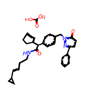 O=C(NCC/C=C/C1CC1)C(c1ccc(Cn2nc(-c3ccccc3)ccc2=O)cc1)C1CCCC1.O=C(O)O